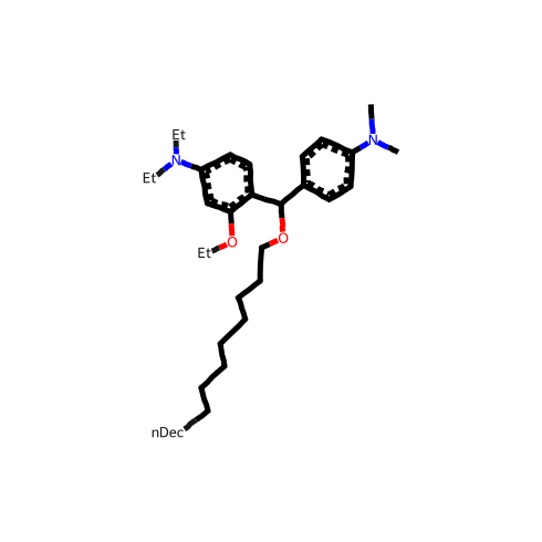 CCCCCCCCCCCCCCCCCCOC(c1ccc(N(C)C)cc1)c1ccc(N(CC)CC)cc1OCC